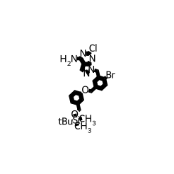 CC(C)(C)[Si](C)(C)OCc1cccc(OCc2ccc(Br)c(Cn3ncc4c(N)nc(Cl)nc43)c2)c1